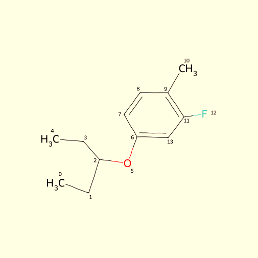 CCC(CC)Oc1ccc(C)c(F)c1